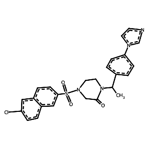 CC(c1ccc(-n2ccnc2)cc1)N1CCN(S(=O)(=O)c2ccc3cc(Cl)ccc3c2)CC1=O